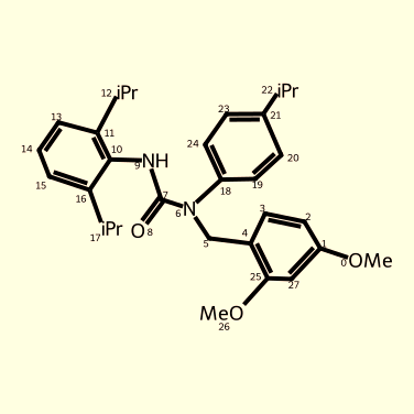 COc1ccc(CN(C(=O)Nc2c(C(C)C)cccc2C(C)C)c2ccc(C(C)C)cc2)c(OC)c1